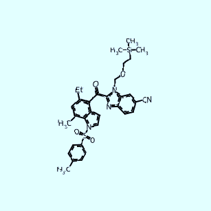 CCc1cc(C)c2c(ccn2S(=O)(=O)c2ccc(C)cc2)c1C(=O)c1nc2ccc(C#N)cc2n1COCC[Si](C)(C)C